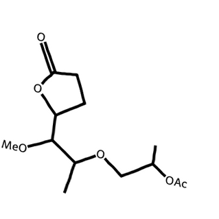 COC(C(C)OCC(C)OC(C)=O)C1CCC(=O)O1